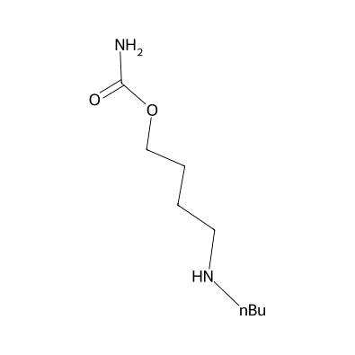 CCCCNCCCCOC(N)=O